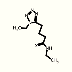 CCNC(=S)CCCc1nnnn1CC